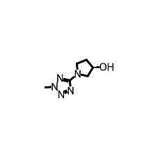 Cn1nnc(N2CC[C@@H](O)C2)n1